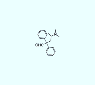 CC(CC(C=O)(c1ccccc1)c1ccccc1)N(C)C